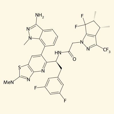 CNc1nc2nc([C@H](Cc3cc(F)cc(F)c3)NC(=O)Cn3nc(C(F)(F)F)c4c3C(F)(F)[C@H](C)[C@@H]4C)c(-c3cccc4c(N)nn(C)c34)cc2s1